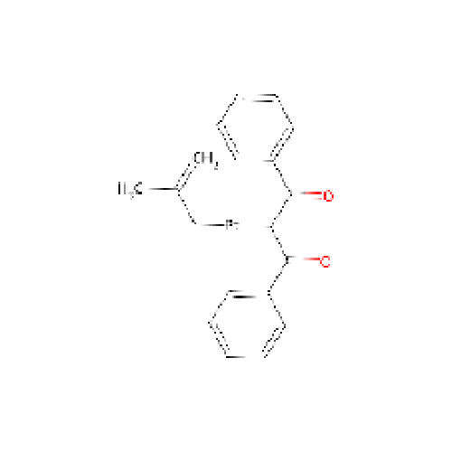 C=C(C)[CH2][Pt][CH](C(=O)c1ccccc1)C(=O)c1ccccc1